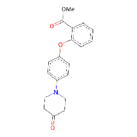 COC(=O)c1ccccc1Oc1ccc(N2CCC(=O)CC2)cc1